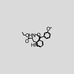 CCOC(=O)C1CC23C(=CCN1)C=CC=C2NCC3C(=O)c1cccc(OC)c1